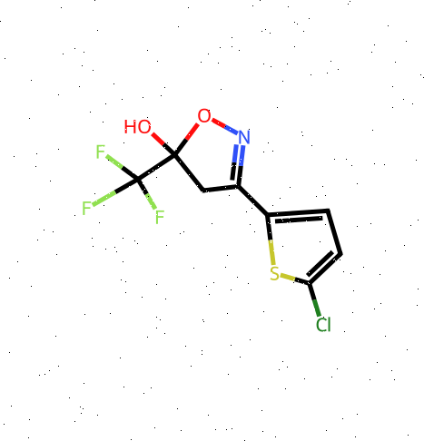 OC1(C(F)(F)F)CC(c2ccc(Cl)s2)=NO1